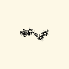 O=S(=O)(Nc1cccc(CCOCc2cccc(-c3ccc(F)cc3)n2)c1)C(F)(F)F